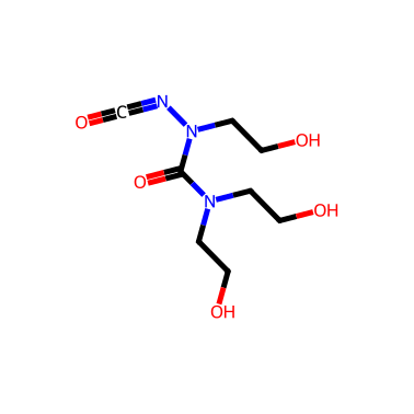 O=C=NN(CCO)C(=O)N(CCO)CCO